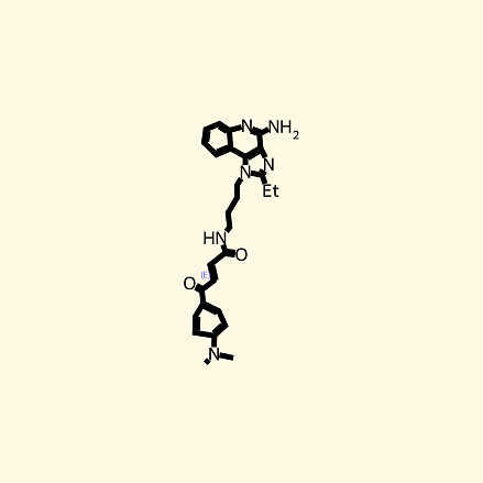 CCc1nc2c(N)nc3ccccc3c2n1CCCCNC(=O)/C=C/C(=O)c1ccc(N(C)C)cc1